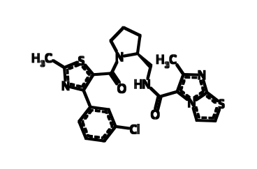 Cc1nc(-c2cccc(Cl)c2)c(C(=O)N2CCC[C@H]2CNC(=O)c2c(C)nc3sccn23)s1